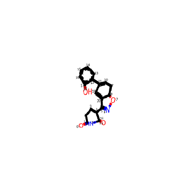 O=C1CCC(C2=NOC3CC=C(c4ccccc4O)C=C23)C(=O)N1